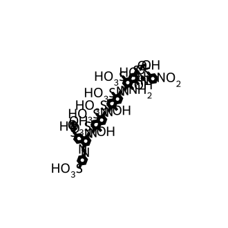 Nc1c(N=Nc2ccc3c(O)c(N=Nc4ccc5c(O)c(N=Nc6ccc(N=Nc7ccc(S(=O)(=O)O)cc7)c7ccc(SOOO)cc67)c(S(=O)(=O)O)cc5c4S(=O)(=O)O)c(S(=O)(=O)O)cc3c2S(=O)(=O)O)cc(S(=O)(=O)O)c2cc(SOOO)c(N=Nc3ccc([N+](=O)[O-])cc3S(=O)(=O)O)c(O)c12